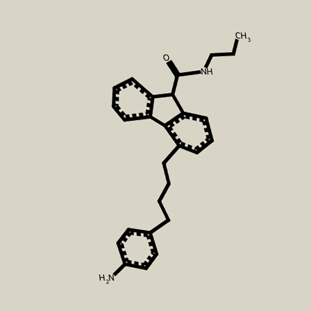 CCCNC(=O)C1c2ccccc2-c2c(CCCCc3ccc(N)cc3)cccc21